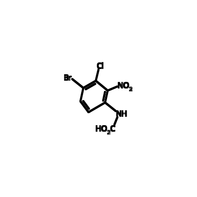 O=C(O)Nc1ccc(Br)c(Cl)c1[N+](=O)[O-]